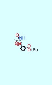 C[C@@H](O)[C@H]1C(=O)N[C@@H]1CC(=O)c1cccc(C(=O)OC(C)(C)C)c1